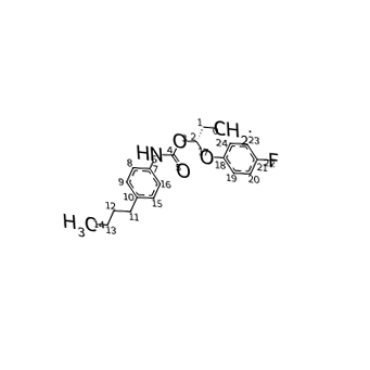 [CH2]C[C@@H](OC(=O)Nc1ccc(CCCC)cc1)Oc1ccc(F)cc1